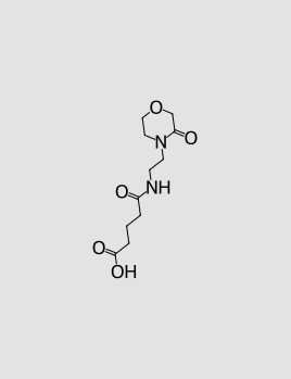 O=C(O)CCCC(=O)NCCN1CCOCC1=O